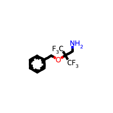 NCC(OCc1ccccc1)(C(F)(F)F)C(F)(F)F